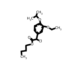 CCCCOC(=O)C(Cl)c1ccc(OC(C)C)c(OCC)c1